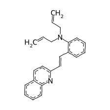 C=CCN(CC=C)c1ccccc1/C=C/c1ccc2ccccc2n1